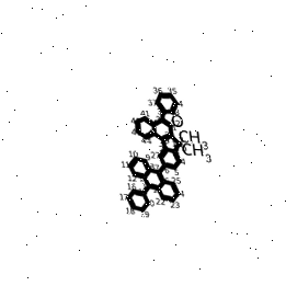 CC1(C)c2ccc(-c3c4ccccc4c(C4=CC=CCC4)c4ccccc34)cc2-c2c1c1oc3ccccc3c1c1ccccc21